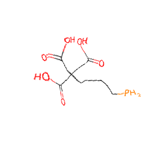 O=C(O)C(CCCP)(C(=O)O)C(=O)O